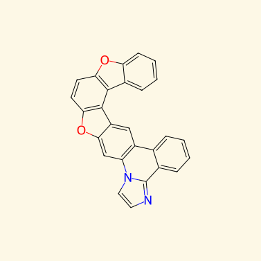 c1ccc2c(c1)oc1ccc3oc4cc5c(cc4c3c12)c1ccccc1c1nccn51